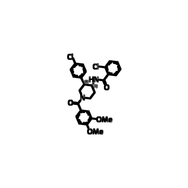 COc1ccc(C(=O)N2CC[C@@H](NC(=O)c3ccccc3Cl)[C@H](c3ccc(Cl)cc3)C2)cc1OC